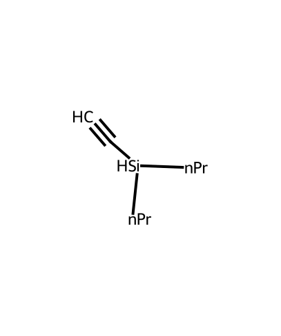 C#C[SiH](CCC)CCC